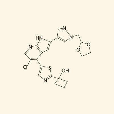 OC1(c2ncc(-c3c(Cl)cnc4[nH]c(-c5cnn(CC6OCCO6)c5)cc34)s2)CCC1